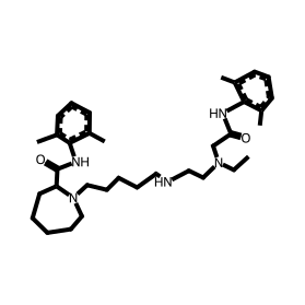 CCN(CCNCCCCCN1CCCCCC1C(=O)Nc1c(C)cccc1C)CC(=O)Nc1c(C)cccc1C